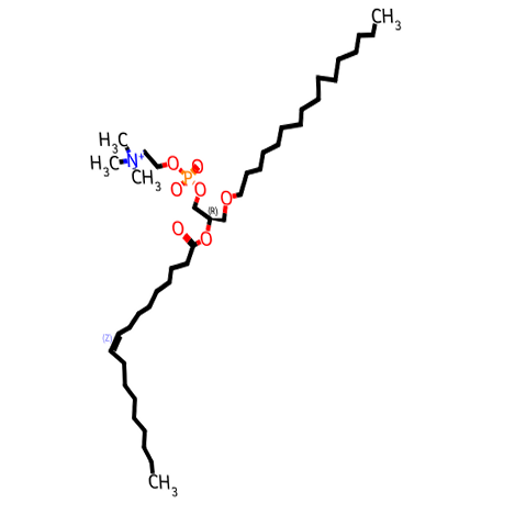 CCCCCCCC/C=C\CCCCCCCC(=O)O[C@H](COCCCCCCCCCCCCCCCC)COP(=O)([O-])OCC[N+](C)(C)C